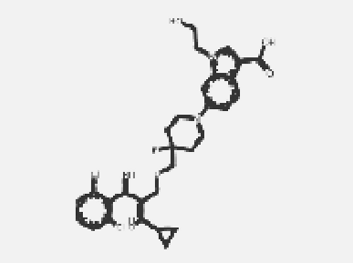 N=C(/C(COCC1(F)CCN(c2ccc3c(C(=O)O)cn(CCO)c3c2)CC1)=C(\O)C1CC1)c1c(Cl)cccc1Cl